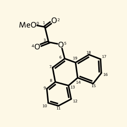 COC(=O)C(=O)Oc1cc2ccccc2c2ccccc12